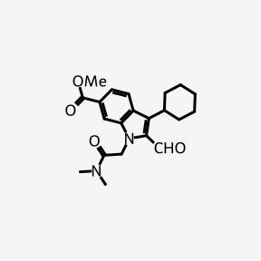 COC(=O)c1ccc2c(C3CCCCC3)c(C=O)n(CC(=O)N(C)C)c2c1